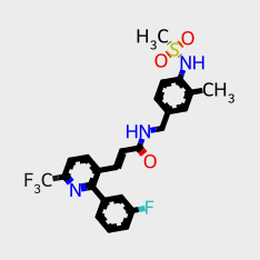 Cc1cc(CNC(=O)/C=C/c2ccc(C(F)(F)F)nc2-c2cccc(F)c2)ccc1NS(C)(=O)=O